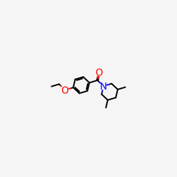 CCOc1ccc(C(=O)N2CC(C)CC(C)C2)cc1